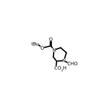 CC(C)(C)OC(=O)N1CCN(C=O)C(C(=O)O)C1